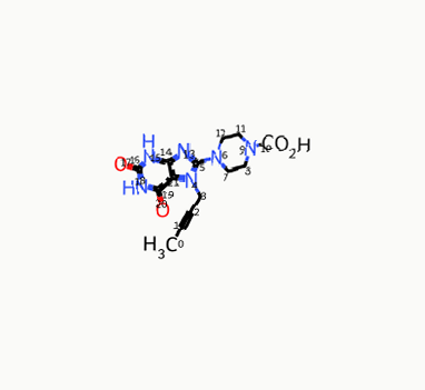 CC#CCn1c(N2CCN(C(=O)O)CC2)nc2[nH]c(=O)[nH]c(=O)c21